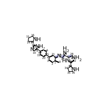 C=C1C=CC(c2ccc(-c3cnc([C@@H]4CCCN4)[nH]3)cc2)=C/C1=N/C=C(N)/C(=C/N)NC(=C)[C@@H]1CCCN1